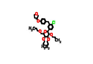 C=CCOC[C@H]1O[C@@H](c2ccc(Cl)c(Cc3ccc(O[C@H]4CCOC4)cc3)c2)[C@H](OCC=C)[C@@H](OCC=C)[C@@H]1OCC=C